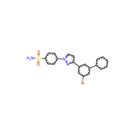 NS(=O)(=O)c1ccc(-n2ccc(-c3cc(Br)cc(-c4ccccc4)c3)n2)cc1